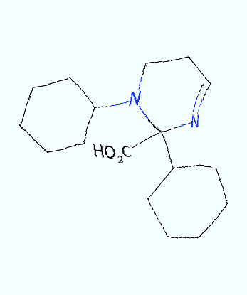 O=C(O)C1(C2CCCCC2)N=CCCN1C1CCCCC1